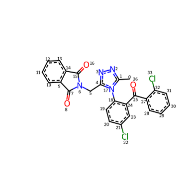 Cc1nnc(CN2C(=O)c3ccccc3C2=O)n1-c1ccc(Cl)cc1C(=O)c1ccccc1Cl